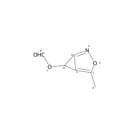 Cc1onc2c1[C]2OC=O